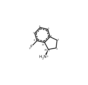 N[C@@H]1CCc2cccc(F)c21